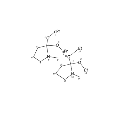 CCCOC1(OCCC)CCCN1C.CCOC1(OCC)CCCN1C